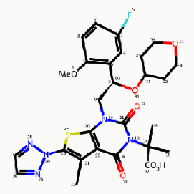 COc1ccc(F)cc1[C@H](Cn1c(=O)n(C(C)(C)C(=O)O)c(=O)c2c(C)c(-n3nccn3)sc21)OC1CCOCC1